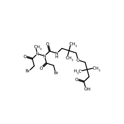 CN(C(=O)CBr)N(C(=O)CBr)C(=O)NCC(C)(C)COCC(C)(C)CC(=O)O